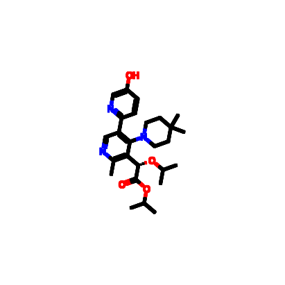 Cc1ncc(-c2ccc(O)cn2)c(N2CCC(C)(C)CC2)c1[C@H](OC(C)C)C(=O)OC(C)C